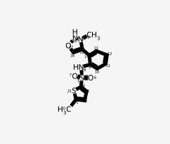 Cc1ccc(S(=O)(=O)Nc2ccccc2C2=CONN2C)s1